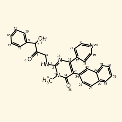 Cn1c(NCC(=O)C(O)c2ccccc2)nc(-c2ccncc2)c(-c2ccc3ccccc3c2)c1=O